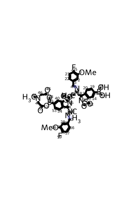 COc1cc(/C=N/N(C)C2=NS(=O)(=O)c3cc(B(O)O)ccc32)ccc1F.COc1cc(/C=N/N(C)C2=NS(=O)(=O)c3cc(B4OC(=O)CN(C)CC(=O)O4)ccc32)ccc1F